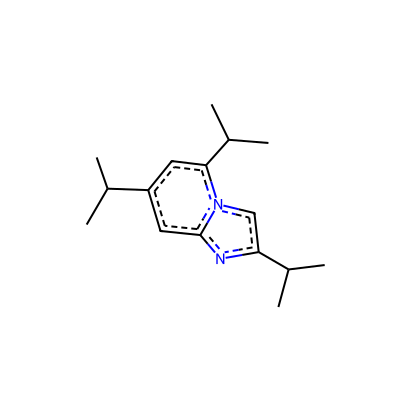 CC(C)c1cc(C(C)C)n2cc(C(C)C)nc2c1